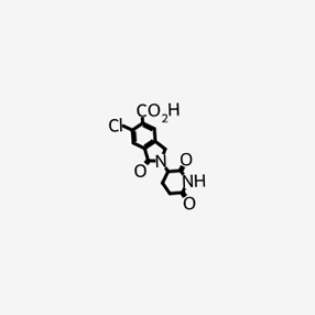 O=C1CCC(N2Cc3cc(C(=O)O)c(Cl)cc3C2=O)C(=O)N1